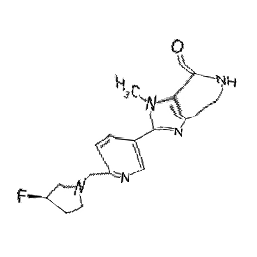 Cn1c(-c2ccc(N3CC[C@@H](F)C3)nc2)nc2c1C(=O)NC2